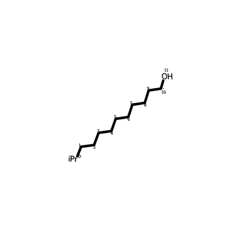 CC(C)CCCCCCCCC[CH]O